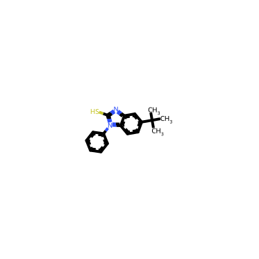 CC(C)(C)c1ccc2c(c1)nc(S)n2-c1ccccc1